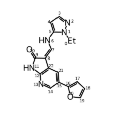 CCn1nccc1NC=C1C(=O)Nc2ncc(-c3ccco3)cc21